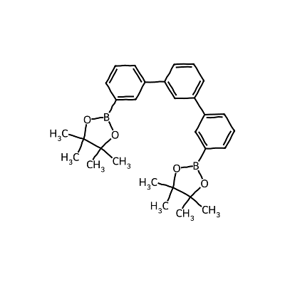 CC1(C)OB(c2cccc(-c3cccc(-c4cccc(B5OC(C)(C)C(C)(C)O5)c4)c3)c2)OC1(C)C